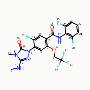 CNc1nn(-c2cc(OCC(F)(F)F)c(C(=O)Nc3c(F)cccc3F)cc2F)c(=O)n1C